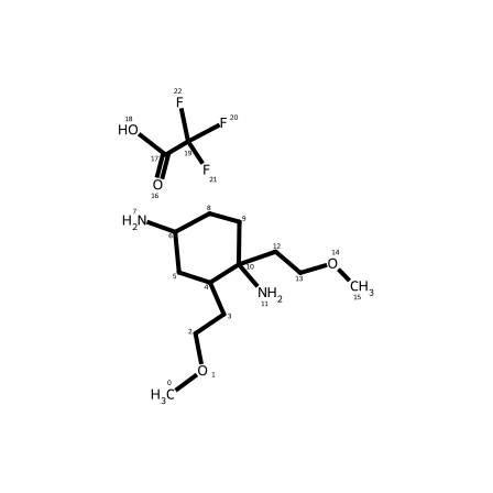 COCCC1CC(N)CCC1(N)CCOC.O=C(O)C(F)(F)F